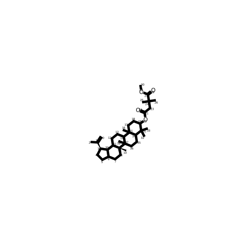 C=C(C)[C@@H]1CCC2CC[C@]3(C)C(CCC4C5(C)CCC(OC(=O)CC(C)(C)C(=O)OC)C(C)(C)C5CCC43C)C21